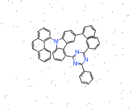 c1ccc(-c2ccc3c(c2)c2c(-c4nc(-c5ccccc5)nc(-c5ccccc5)n4)cccc2n3-c2cccc3ccc4ccccc4c23)cc1